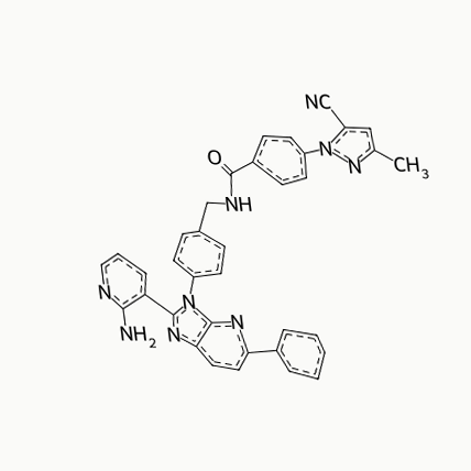 Cc1cc(C#N)n(-c2ccc(C(=O)NCc3ccc(-n4c(-c5cccnc5N)nc5ccc(-c6ccccc6)nc54)cc3)cc2)n1